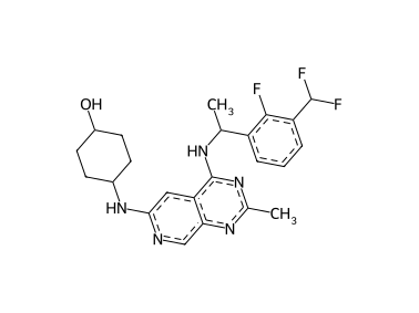 Cc1nc(NC(C)c2cccc(C(F)F)c2F)c2cc(NC3CCC(O)CC3)ncc2n1